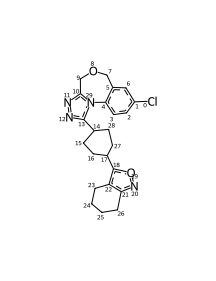 Clc1ccc2c(c1)COCc1nnc(C3CCC(c4onc5c4CCCC5)CC3)n1-2